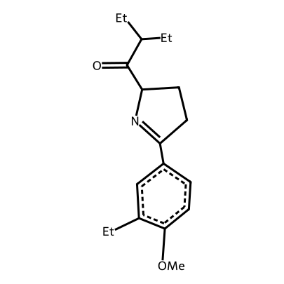 CCc1cc(C2=NC(C(=O)C(CC)CC)CC2)ccc1OC